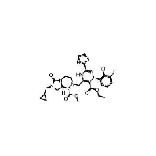 CCOC(=O)C1=C(CN2CCN3C(=O)N(CC4CC4)C[C@@H]3[C@H]2C(=O)OC)NC(c2nccs2)=N[C@H]1c1cccc(F)c1Cl